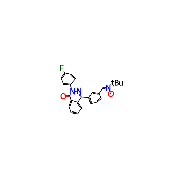 CC(C)(C)/[N+]([O-])=C/c1cccc(-c2nn(-c3ccc(F)cc3)c(=O)c3ccccc23)c1